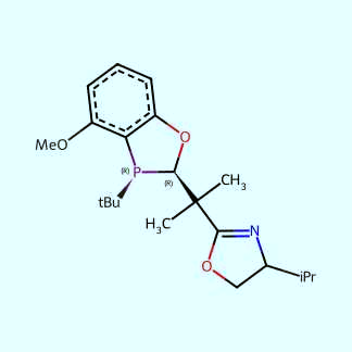 COc1cccc2c1[P@](C(C)(C)C)[C@H](C(C)(C)C1=NC(C(C)C)CO1)O2